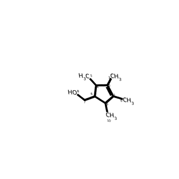 CC1=C(C)C(C)C(CO)C1C